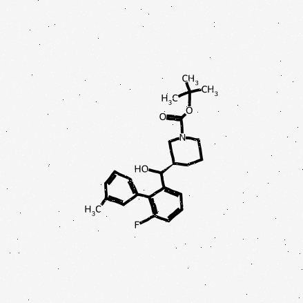 Cc1cccc(-c2c(F)cccc2C(O)[C@@H]2CCCN(C(=O)OC(C)(C)C)C2)c1